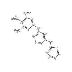 COc1cc(Nc2nccc(Sc3ccccc3)n2)cc(OC)c1OC